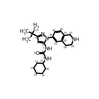 CC(C)(C)c1cc(NC(=O)NC2CCCCC2)n(-c2ccc3c(c2)CCNC3)n1